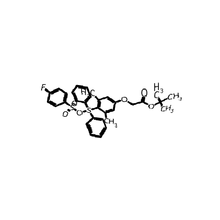 Cc1cc(OCC(=O)OC(C)(C)C)cc(C)c1S(OS(=O)(=O)c1ccc(F)cc1)(c1ccccc1)c1ccccc1